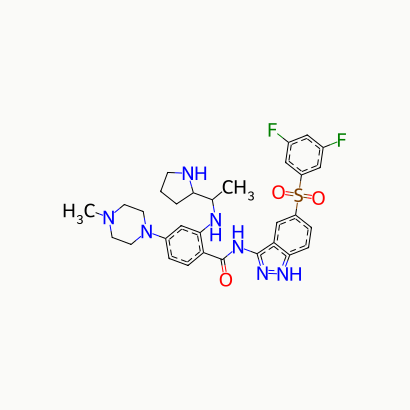 CC(Nc1cc(N2CCN(C)CC2)ccc1C(=O)Nc1n[nH]c2ccc(S(=O)(=O)c3cc(F)cc(F)c3)cc12)C1CCCN1